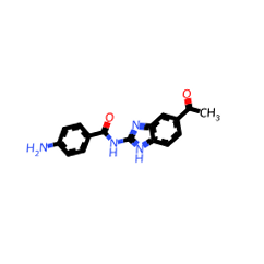 CC(=O)c1ccc2[nH]c(NC(=O)c3ccc(N)cc3)nc2c1